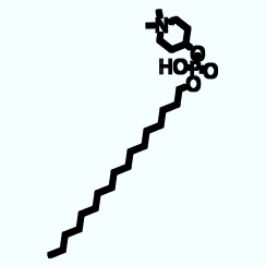 CCCCCCCCCCCCCCCCCOP(=O)(O)OC1CC[N+](C)(C)CC1